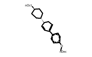 CCCCCCCCCCOc1ccc(C2=CCC([C@H]3CC[C@H](CCCCCCCC)CC3)C=C2)cc1